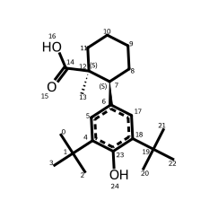 CC(C)(C)c1cc([C@@H]2CCCC[C@]2(C)C(=O)O)cc(C(C)(C)C)c1O